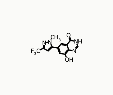 Cn1nc(C(F)(F)F)cc1-c1cc(O)c2nc[nH]c(=O)c2c1